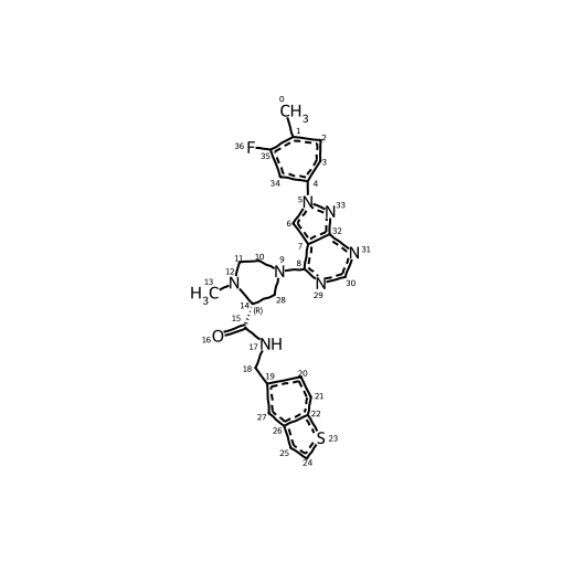 Cc1ccc(-n2cc3c(N4CCN(C)[C@@H](C(=O)NCc5ccc6sccc6c5)C4)ncnc3n2)cc1F